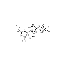 CCOc1cc2n(c(=O)n1)CCc1cc(OS(=O)(=O)C(F)(F)F)ccc1-2